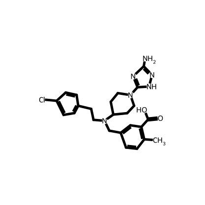 Cc1ccc(CN(CCc2ccc(Cl)cc2)C2CCN(c3nc(N)n[nH]3)CC2)cc1C(=O)O